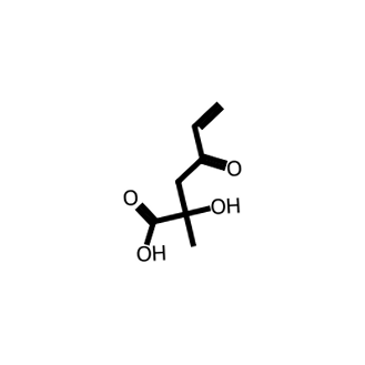 C=CC(=O)CC(C)(O)C(=O)O